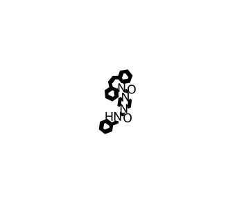 O=C(NCc1ccccc1)N1CCN(C(=O)N2c3ccccc3C=Cc3ccccc32)CC1